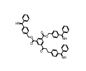 N=C(c1ccccc1)c1ccc(CCC(=O)c2cc(C(=O)OCc3ccc(C(=N)c4ccccc4)cc3)cc(C(=O)OCc3ccc(C(=N)c4ccccc4)cc3)c2)cc1